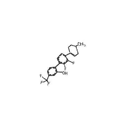 CC1CC=C(c2ccc(-c3ccc(C(F)(F)F)cc3O)c(F)c2F)CC1